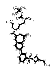 CCCN(CCCN(C)C(=O)OC(C)(C)C)C(=O)C1=Cc2ccc(-c3cccc(S(=O)(=O)N4CC(CO)C4)c3)cc2N=C(N)C1